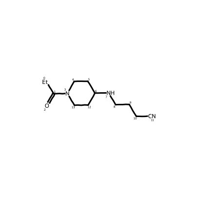 CCC(=O)N1CCC(NCCCC#N)CC1